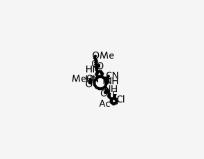 COCCOC(=O)Nc1ccc2c(c1)N[C@@H](C(=O)OC)CCCC[C@H](NC(=O)/C=C/c1c(C(C)=O)ccc(Cl)c1F)c1nc-2c(C#N)[nH]1